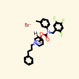 Cc1cccc(N(Cc2cc(F)c(F)cc2F)C(=O)O[C@H]2C[N+]3(CCCc4ccccc4)CCC2CC3)c1.[Br-]